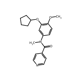 COc1ccc(N(C)C(=O)c2ccncc2)cc1OC1CCCC1